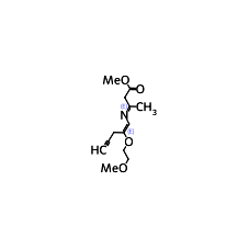 C#CC/C(=C\N=C(/C)CC(=O)OC)OCCOC